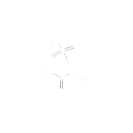 O=S(=O)(O)O.O=[N+]([O-])O.[NaH]